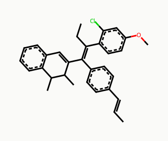 C/C=C/c1ccc(/C(C2=Cc3ccccc3C(C)C2C)=C(/CC)c2ccc(OC)cc2Cl)cc1